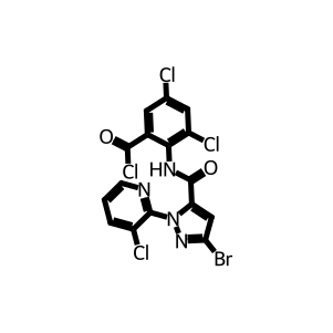 O=C(Cl)c1cc(Cl)cc(Cl)c1NC(=O)c1cc(Br)nn1-c1ncccc1Cl